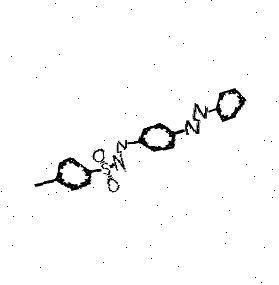 Cc1ccc(S(=O)(=O)N=Nc2ccc(/N=N/c3ccccc3)cc2)cc1